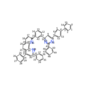 c1ccc(-c2ccc(-c3cc(-c4cccc(-c5ccc6ccc7c(-c8ccccc8)cc(-c8ccccc8)nc7c6n5)c4)nc(-c4ccccc4)n3)cc2)cc1